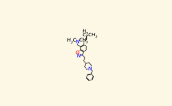 CC(C)=CCc1ccc2c(CCC3CCN(Cc4ccccc4)CC3)noc2c1CN(C)C